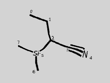 CCC(C#N)[Si](C)C